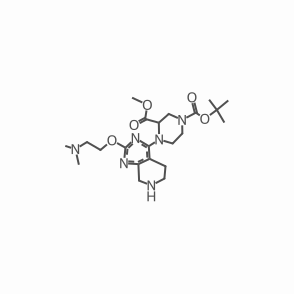 COC(=O)C1CN(C(=O)OC(C)(C)C)CCN1c1nc(OCCN(C)C)nc2c1CCNC2